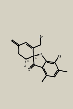 C=C1C=C(CBr)[C@@]2(Oc3c(Cl)c(C)cc(C)c3C2=O)[C@H](C)C1